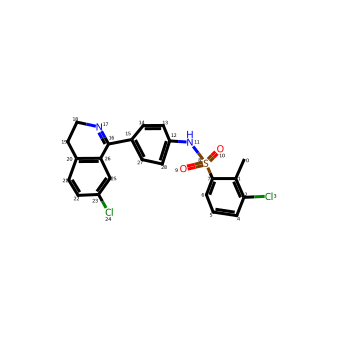 Cc1c(Cl)cccc1S(=O)(=O)Nc1ccc(C2=NCCc3ccc(Cl)cc32)cc1